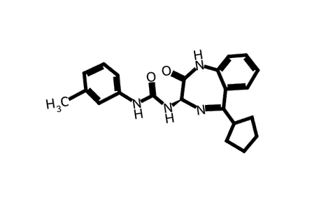 Cc1cccc(NC(=O)N[C@@H]2N=C(C3CCCC3)c3ccccc3NC2=O)c1